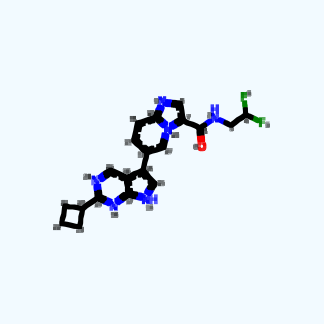 O=C(NCC(F)F)c1cnc2ccc(-c3c[nH]c4nc(C5CCC5)ncc34)cn12